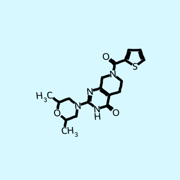 CC1CN(c2nc3c(c(=O)[nH]2)CCN(C(=O)c2cccs2)C3)CC(C)O1